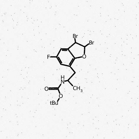 CC(Cc1cc(F)cc2c1OC(Br)C2Br)NC(=O)OC(C)(C)C